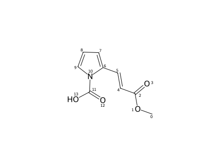 COC(=O)C=Cc1cccn1C(=O)O